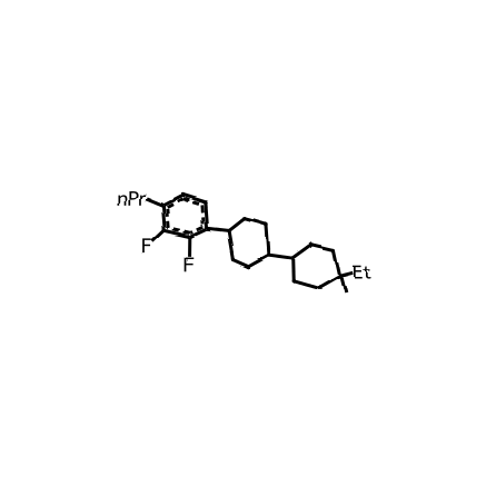 CCCc1ccc(C2CCC(C3CCC(C)(CC)CC3)CC2)c(F)c1F